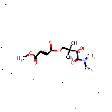 COC(=O)/C=C/C(=O)OCC(C)(C)[C@@H](O)C(=O)N(C)C